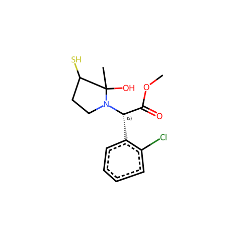 COC(=O)[C@H](c1ccccc1Cl)N1CCC(S)C1(C)O